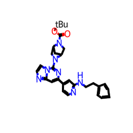 CC(C)(C)OC(=O)N1CC2CC1CN2c1nc(-c2ccnc(NCCc3ccccc3)c2)cc2nccn12